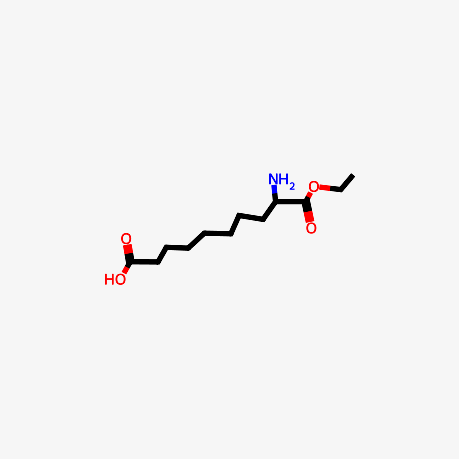 CCOC(=O)C(N)CCCCCCCC(=O)O